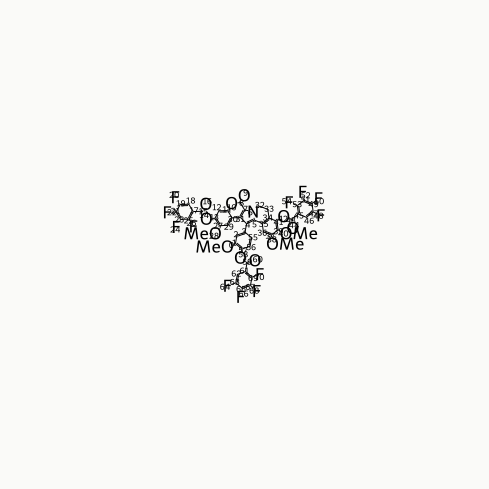 COc1cc(-c2c3n(c4c(=O)oc5cc(OC(=O)c6cc(F)c(F)c(F)c6F)c(OC)cc5c24)CCc2c-3cc(OC)c(OC)c2OC(=O)c2cc(F)c(F)c(F)c2F)ccc1OC(=O)c1cc(F)c(F)c(F)c1F